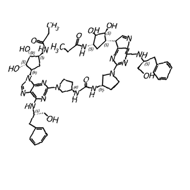 CCC(=O)N[C@H]1C[C@@H](C2C=Nc3c(N[C@H](CO)Cc4ccccc4)nc(N4CC[C@@H](NC(=O)N[C@@H]5CCN(c6nc(N[C@H](CO)Cc7ccccc7)c7ncn([C@@H]8C[C@H](NC(=O)CC)[C@@H](O)[C@H]8O)c7n6)C5)C4)nc32)[C@H](O)C1O